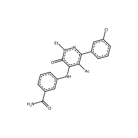 CCn1nc(-c2cccc(Cl)c2)c(C(C)=O)c(Nc2cccc(C(N)=O)c2)c1=O